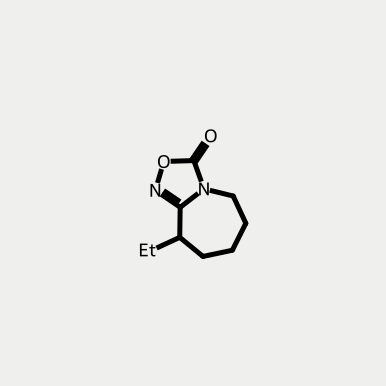 CCC1CCCCn2c1noc2=O